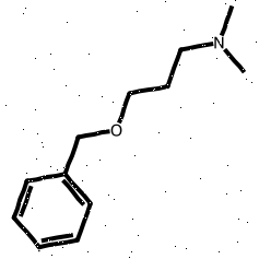 CN(C)CCCOCc1cc[c]cc1